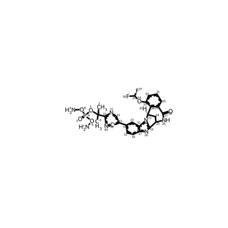 CC(C)(OP(=O)(ON)ON)c1ncc(-c2ccc3nc4n(c3c2)[C@@H]2CC4NC(=O)c3cccc(OC(F)F)c32)cn1